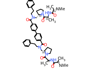 CN[C@@H](C)C(=O)N[C@@H](C)C(=O)N1CCC[C@H]1CN(CCc1ccccc1)C(=O)c1ccc(-c2ccc(C(=O)N(CCc3ccccc3)C[C@@H]3CCCN3C(=O)[C@H](C)NC(=O)[C@H](C)NC)cc2)cc1